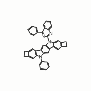 c1ccc(-c2nc(-n3c4cc5c(cc4c4cc6c(cc43)c3cc4c(cc3n6-c3ccccc3)CC4)CC5)nc3ccccc23)cc1